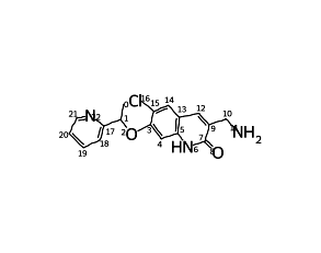 CC(Oc1cc2[nH]c(=O)c(CN)cc2cc1Cl)c1ccccn1